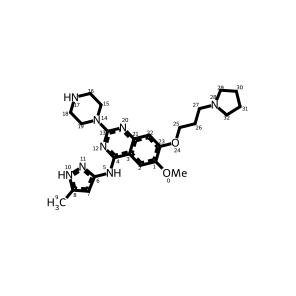 COc1cc2c(Nc3cc(C)[nH]n3)nc(N3CCNCC3)nc2cc1OCCCN1CCCC1